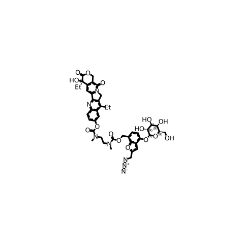 CCc1c2c(nc3ccc(OC(=O)N(C)CCN(C)C(=O)OCc4ccc(O[C@@H]5O[C@H](CO)[C@H](O)[C@H](O)[C@H]5O)c5cc(CN=[N+]=[N-])oc45)cc13)-c1cc3c(c(=O)n1C2)COC(=O)[C@@]3(O)CC